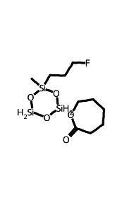 C[Si]1(CCCF)O[SiH2]O[SiH2]O1.O=C1CCCCCO1